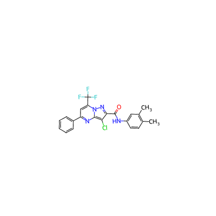 Cc1ccc(NC(=O)c2nn3c(C(F)(F)F)cc(-c4ccccc4)nc3c2Cl)cc1C